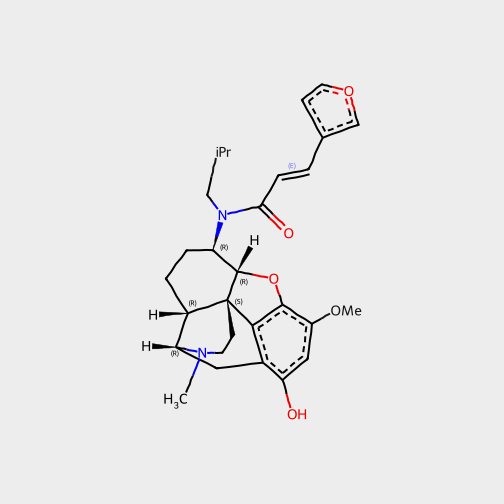 COc1cc(O)c2c3c1O[C@H]1[C@H](N(CC(C)C)C(=O)/C=C/c4ccoc4)CC[C@H]4[C@@H](C2)N(C)CC[C@@]341